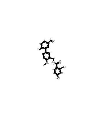 COc1ccc(-c2cc(C=O)ccc2C)cc1CNC(=O)c1ccc(Cl)cc1Cl